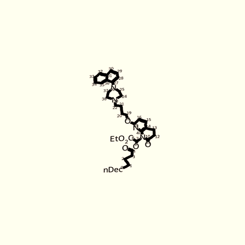 CCCCCCCCCCCCCC(=O)OC(C(=O)OCC)N1C(=O)CCc2ccc(OCCCCN3CCN(c4cccc5ccccc45)CC3)nc21